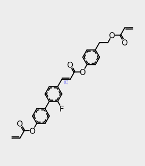 C=CC(=O)OCCc1ccc(OC(=O)/C=C/c2ccc(-c3ccc(OC(=O)C=C)cc3)c(F)c2)cc1